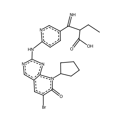 CCC(C(=N)c1ccc(Nc2ncc3cc(Br)c(=O)n(C4CCCC4)c3n2)nc1)C(=O)O